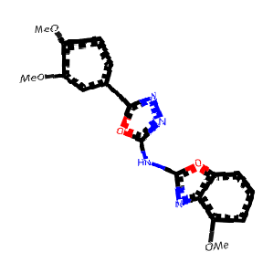 COc1ccc(-c2nnc(Nc3nc4c(OC)cccc4o3)o2)cc1OC